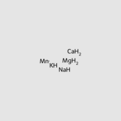 [CaH2].[KH].[MgH2].[Mn].[NaH]